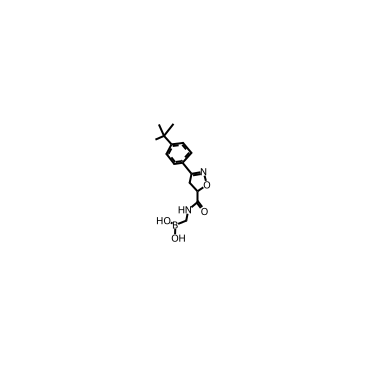 CC(C)(C)c1ccc(C2=NOC(C(=O)NCB(O)O)C2)cc1